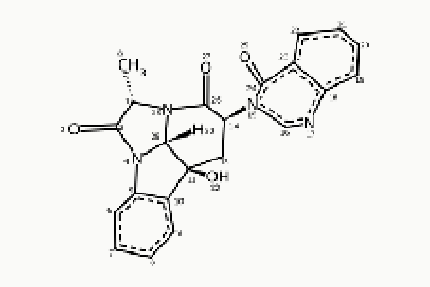 C[C@H]1C(=O)N2c3ccccc3[C@@]3(O)C[C@H](n4cnc5ccccc5c4=O)C(=O)N1[C@@H]23